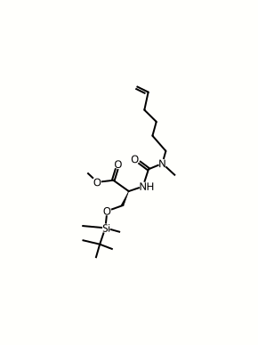 C=CCCCCN(C)C(=O)N[C@@H](CO[Si](C)(C)C(C)(C)C)C(=O)OC